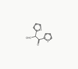 O=CC(C(=O)c1cccs1)c1cccs1